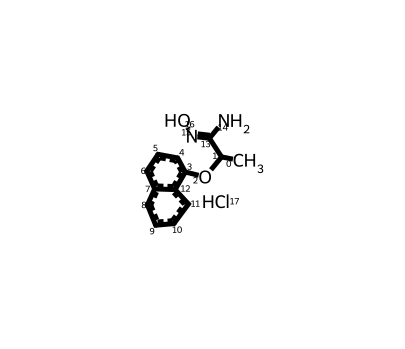 CC(Oc1cccc2ccccc12)C(N)=NO.Cl